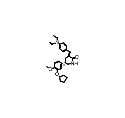 CCN(CC)c1ccc(C=C2C[C@@H](c3ccc(OC)c(OC4CCCC4)c3)CNC2=O)cc1